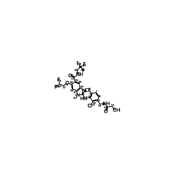 Cn1c(Nc2c(Cl)ccc(CNC(=O)CO)c2Cl)nc2cc(C(=O)NCC(F)(F)F)c(OCC(F)F)cc21